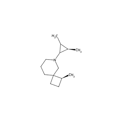 CC1C(N2CCCC3(CC[C@@H]3C)C2)[C@@H]1C